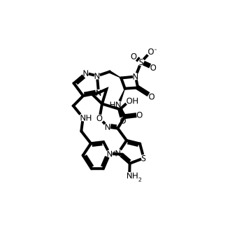 C[n+]1cccc(CNCc2cnn(C[C@@H]3[C@H](NC(=O)C(=NOC4(C(=O)O)CC4)c4csc(N)n4)C(=O)N3S(=O)(=O)[O-])n2)c1